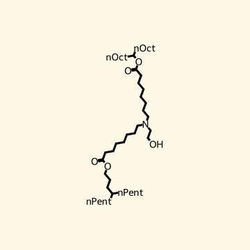 CCCCCCCCC(CCCCCCCC)OC(=O)CCCCCCCN(CCO)CCCCCCCC(=O)OCCCC(CCCCC)CCCCC